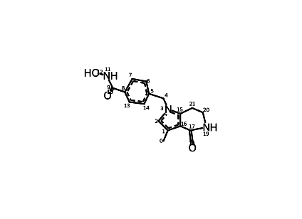 Cc1cn(Cc2ccc(C(=O)NO)cc2)c2c1C(=O)NCC2